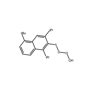 CC(C)c1cc2c(C(C)(C)C)cccc2c(C(C)C)c1SOOO